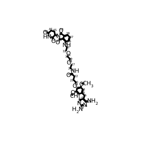 COc1cc(Cc2cnc(N)nc2N)cc(OC)c1OCCCC(=O)NCCOCCOCCNc1cccc2c1C(=O)N(C1CCC(=O)NC1=O)C2=O